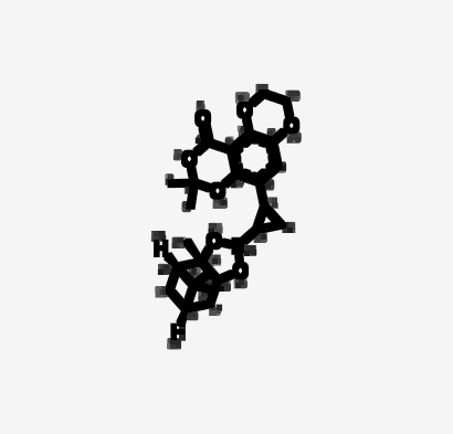 CC1(C)OC(=O)c2c3c(cc(C4CC4B4OC5C[C@@H]6C[C@@H](C6(C)C)[C@]5(C)O4)c2O1)OCCO3